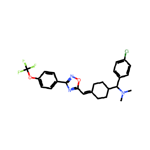 CN(C)C(c1ccc(Cl)cc1)C1CCC(=Cc2nc(-c3ccc(OC(F)(F)F)cc3)no2)CC1